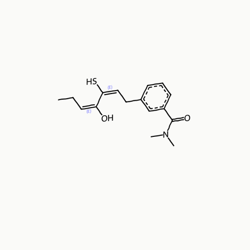 CC/C=C(O)\C(S)=C/Cc1cccc(C(=O)N(C)C)c1